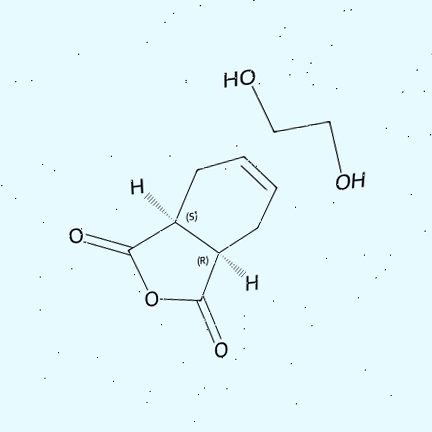 O=C1OC(=O)[C@@H]2CC=CC[C@H]12.OCCO